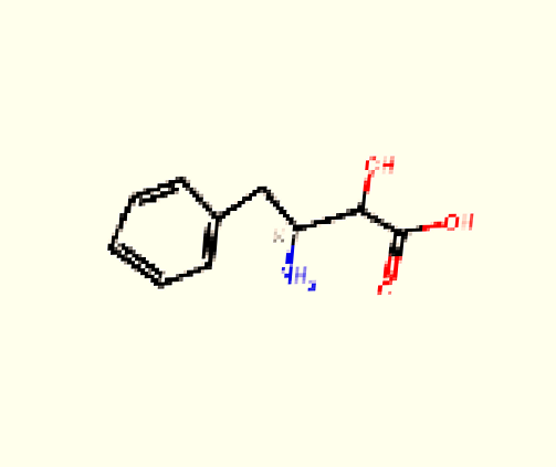 N[C@@H](Cc1ccccc1)C(O)C(=O)O